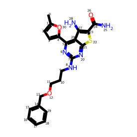 Cc1ccc(-c2nc(NCCCOCc3ccccc3)nc3sc(C(N)=O)c(N)c23)o1